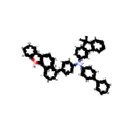 CC1(C)c2ccccc2-c2cc(N(c3ccc(-c4ccccc4)cc3)c3ccc(-c4cccc5c4ccc4c6ccccc6oc54)cc3)ccc21